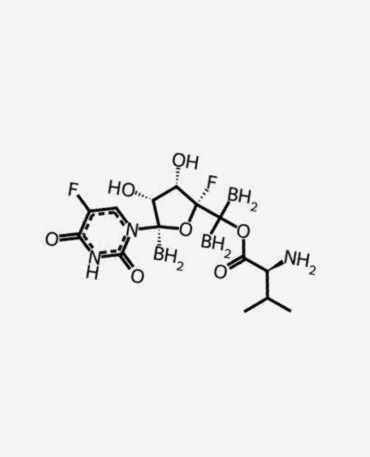 BC(B)(OC(=O)[C@@H](N)C(C)C)[C@@]1(F)O[C@@](B)(n2cc(F)c(=O)[nH]c2=O)[C@H](O)[C@@H]1O